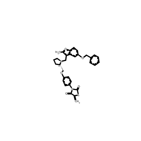 C=C1SC(=O)N(c2ccc(OC[C@@H]3CCCN3Cc3c(C)oc4ccc(OCc5ccccc5)cc34)cc2)C1=O